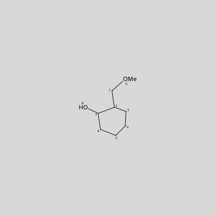 COCC1CCCC[C]1O